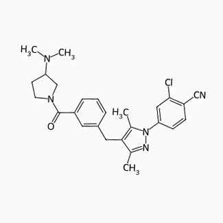 Cc1nn(-c2ccc(C#N)c(Cl)c2)c(C)c1Cc1cccc(C(=O)N2CCC(N(C)C)C2)c1